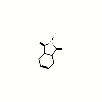 CC(C)N1C(=O)C2CC=CCC2C1=O